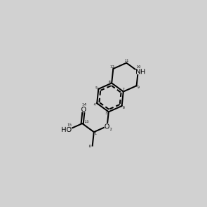 CC(Oc1ccc2c(c1)CNCC2)C(=O)O